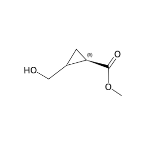 COC(=O)[C@@H]1CC1CO